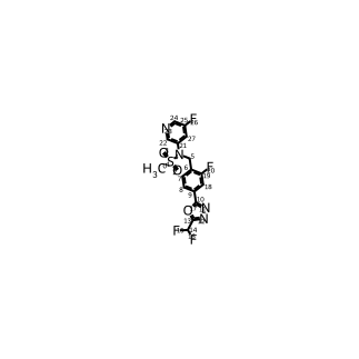 CS(=O)(=O)N(Cc1ccc(-c2nnc(C(F)F)o2)cc1F)c1cncc(F)c1